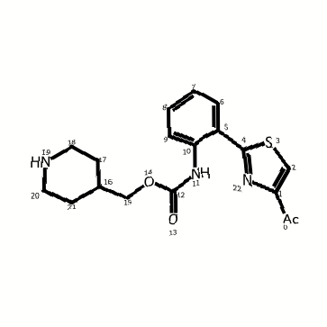 CC(=O)c1csc(-c2ccccc2NC(=O)OCC2CCNCC2)n1